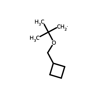 [CH2]C(C)(C)OCC1CCC1